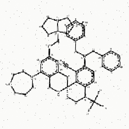 N#Cc1c(N(Cc2ccccc2)Cc2ccccc2)ccc2c1[C@]1(CC[C@@H]2C(F)(F)F)Cc2nc(OC[C@@]34CCCN3C[C@H](F)C4)nc(N3CCCOCC3)c2CO1